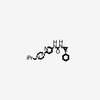 CC(C)CN1CCN(c2ccc(NC(=O)N[C@@H]3C[C@H]3c3ccccc3)cn2)CC1